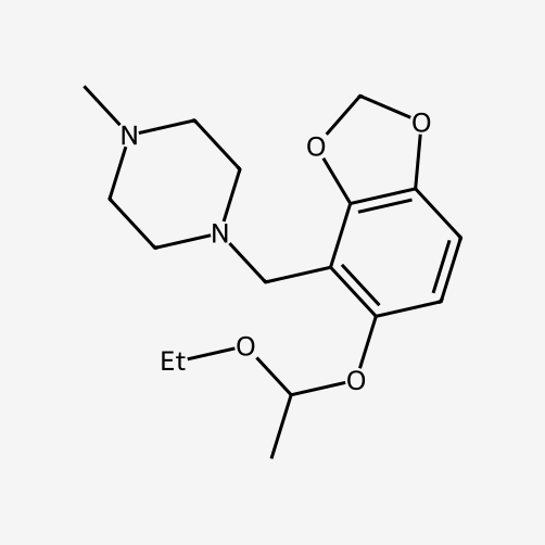 CCOC(C)Oc1ccc2c(c1CN1CCN(C)CC1)OCO2